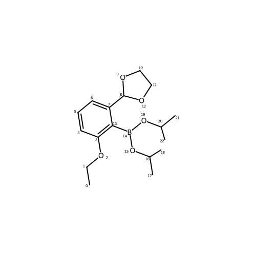 CCOc1cccc(C2OCCO2)c1B(OC(C)C)OC(C)C